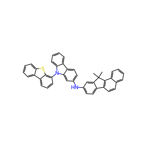 CC1(C)c2cc(Nc3ccc4c5ccccc5n(-c5cccc6c5sc5ccccc56)c4c3)ccc2-c2ccc3ccccc3c21